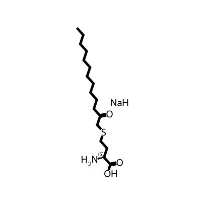 CCCCCCCCCCCC(=O)CSCC[C@H](N)C(=O)O.[NaH]